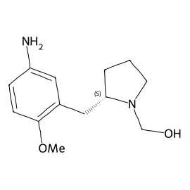 COc1ccc(N)cc1C[C@@H]1CCCN1CO